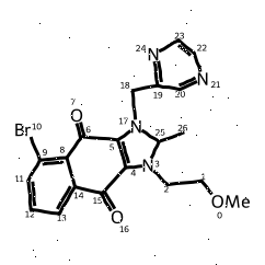 COCCN1C2=C(C(=O)c3c(Br)cccc3C2=O)N(Cc2cnccn2)C1C